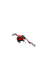 CCCCCC/C=C\CCCCCCCCCC(=O)O[C@H](COC(=O)CCCCCCCCCCCCCCCCC)COP(=O)(O)OCCN